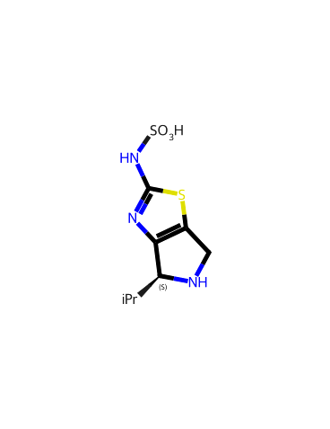 CC(C)[C@@H]1NCc2sc(NS(=O)(=O)O)nc21